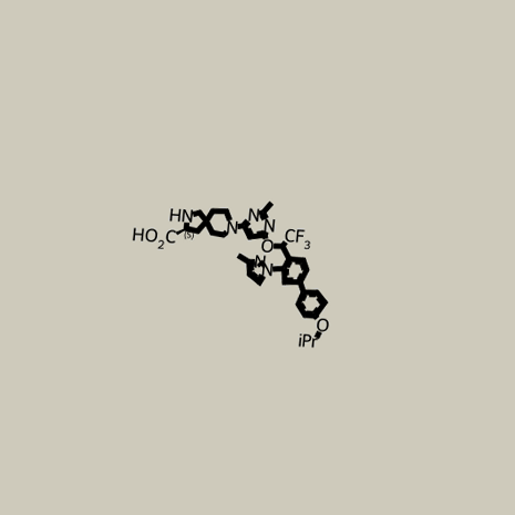 Cc1ccn(-c2cc(-c3ccc(OC(C)C)cc3)ccc2C(Oc2cc(N3CCC4(CC3)CN[C@H](C(=O)O)C4)nc(C)n2)C(F)(F)F)n1